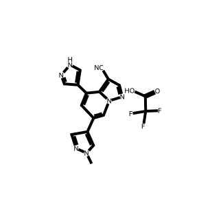 Cn1cc(-c2cc(-c3cn[nH]c3)c3c(C#N)cnn3c2)cn1.O=C(O)C(F)(F)F